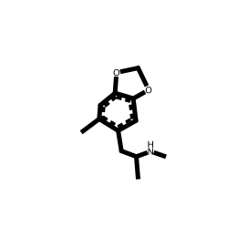 CNC(C)Cc1cc2c(cc1C)OCO2